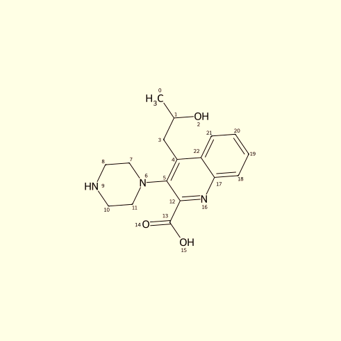 CC(O)Cc1c(N2CCNCC2)c(C(=O)O)nc2ccccc12